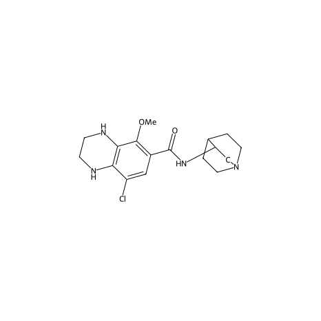 COc1c(C(=O)NC2CN3CCC2CC3)cc(Cl)c2c1NCCN2